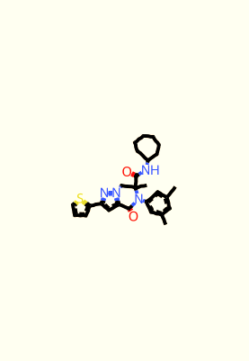 Cc1cc(C)cc(N2C(=O)c3cc(-c4cccs4)nn3CC2(C)C(=O)NC2CCCCCC2)c1